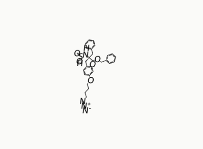 [N-]=[N+]=NCCCCOc1ccc(C[C@](Cc2ccccc2)(N[SH](=O)=O)C(=O)OCc2ccccc2)cc1